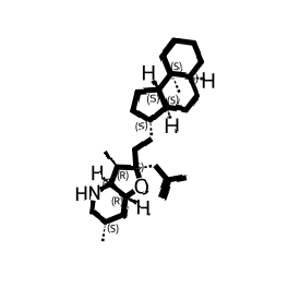 C=C(C)C[C@]1(CC[C@@H]2CC[C@H]3[C@H]2CC[C@@H]2CCCC[C@@]23C)O[C@@H]2C[C@H](C)CN[C@H]2[C@H]1C